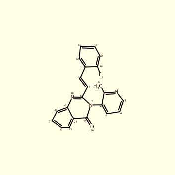 Cc1ncccc1-n1c(C=Cc2ccccc2F)nc2ccccc2c1=O